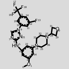 COc1cc(Nc2ncn(-c3cc(F)cc(C(F)(F)F)c3)n2)cc(N2CCN(C3COC3)CC2)c1